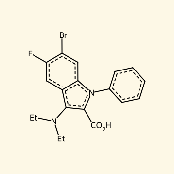 CCN(CC)c1c(C(=O)O)n(-c2ccccc2)c2cc(Br)c(F)cc12